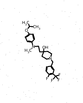 CC(C)Oc1ccc(N(C)CCC2(O)CCN(Cc3ccc(F)c(C(F)(F)F)c3)CC2)cc1